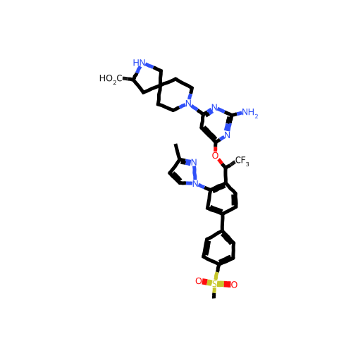 Cc1ccn(-c2cc(-c3ccc(S(C)(=O)=O)cc3)ccc2C(Oc2cc(N3CCC4(CC3)CNC(C(=O)O)C4)nc(N)n2)C(F)(F)F)n1